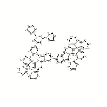 c1ccc(-c2nc(-c3ccccc3)nc(-c3cccc(-n4c5ccc(-c6ccc7c(c6)c6ccc8c(c6n7-c6ccccc6)-c6ccccc6C86c7ccccc7-c7ccccc76)cc5c5ccc6c(c54)-c4ccccc4C64c5ccccc5-c5ccccc54)c3)n2)cc1